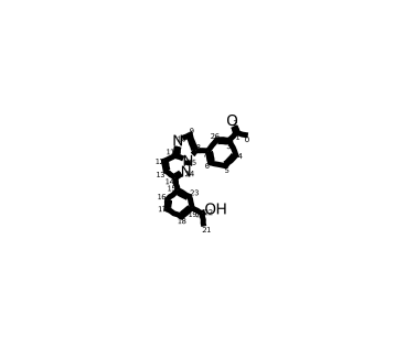 CC(=O)c1cccc(-c2cnc3ccc(-c4cccc(C(C)O)c4)nn23)c1